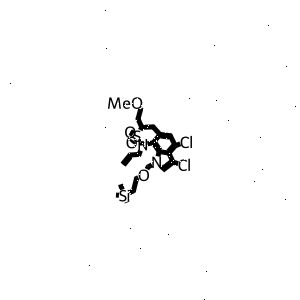 C=CCN1c2c(cc(Cl)c3c(Cl)cn(COCC[Si](C)(C)C)c23)CC(CCOC)S1(=O)=O